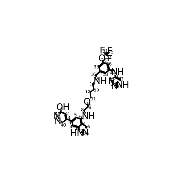 Oc1cc(-c2cc(NCCOCCCCNCc3cc(Nc4c[nH]nn4)cc(OC(F)(F)F)c3)c3cn[nH]c3c2)cnn1